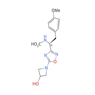 COc1ccc(C[C@H](NC(=O)O)c2noc(N3CC(O)C3)n2)cc1